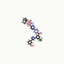 O=C(NS(=O)(=O)CC12CC3CC(CC(C3)C1)C2)c1ccc(N2CCN(C(=O)c3cc(-n4cc(-c5cccc(O)c5)cn4)cc(C(F)(F)F)c3)CC2)nn1